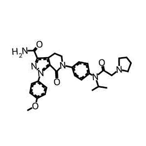 COc1ccc(-n2nc(C(N)=O)c3c2C(=O)N(c2ccc(N(C(=O)CN4CCCC4)C(C)C)cc2)CC3)cc1